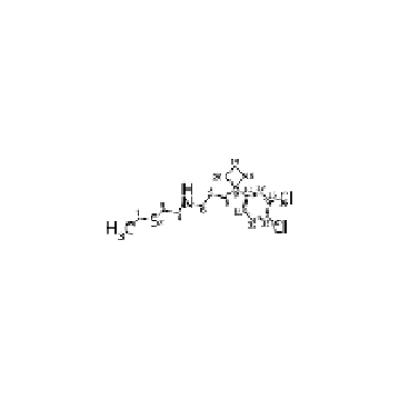 CCSCCNCCCC1(c2ccc(Cl)c(Cl)c2)CCC1